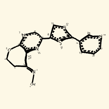 O/N=C1\CCOc2ncc(-c3cnc(-c4cccnc4)s3)nc21